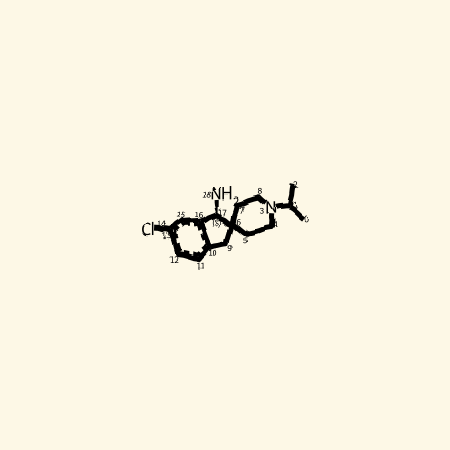 CC(C)N1CCC2(CC1)Cc1ccc(Cl)cc1[C@H]2N